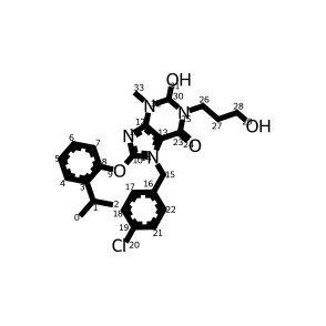 CC(C)c1ccccc1Oc1nc2c(n1Cc1ccc(Cl)cc1)C(=O)N(CCCO)C(O)N2C